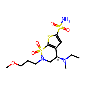 CCN(C)[C@H]1CN(CCCOC)S(=O)(=O)c2sc(S(N)(=O)=O)cc21